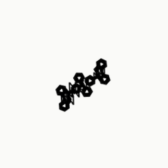 c1ccc([Si](c2ccccc2)(c2ccc(-n3c4ccccc4n4c5ccccc5cc34)cc2)c2cnc(-n3c4ccccc4n4c5ccccc5nc34)nc2)cc1